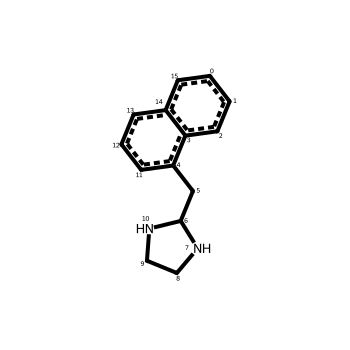 c1ccc2c(CC3NCCN3)cccc2c1